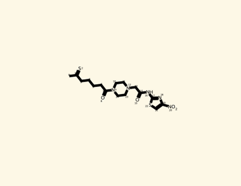 CC(=S)CCCCC(=O)N1CCN(CC(=O)Nc2nc([N+](=O)[O-])cs2)CC1